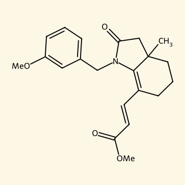 COC(=O)C=CC1=C2N(Cc3cccc(OC)c3)C(=O)CC2(C)CCC1